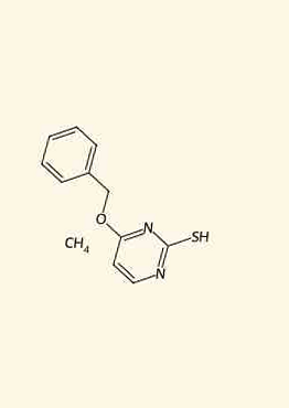 C.Sc1nccc(OCc2ccccc2)n1